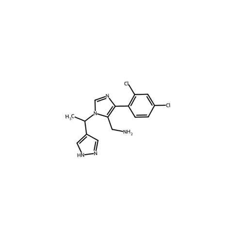 CC(c1cn[nH]c1)n1cnc(-c2ccc(Cl)cc2Cl)c1CN